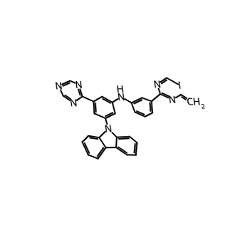 C=C/N=C(\N=C/I)c1cccc(Nc2cc(-c3ncncn3)cc(-n3c4ccccc4c4ccccc43)c2)c1